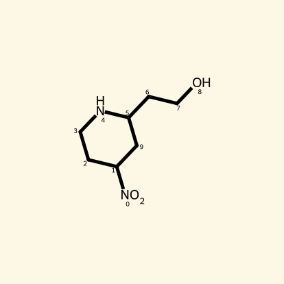 O=[N+]([O-])C1CCNC(CCO)C1